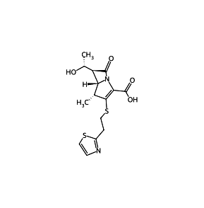 C[C@@H](O)[C@H]1C(=O)N2C(C(=O)O)=C(SCCc3nccs3)[C@H](C)[C@H]12